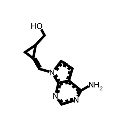 Nc1ncnc2c1ccn2/C=C1/CC1CO